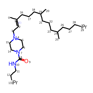 C/C(=C\CN1CCN(C(=O)NCCC(C)C)CC1)CCCC(C)CCCC(C)CCCC(C)C